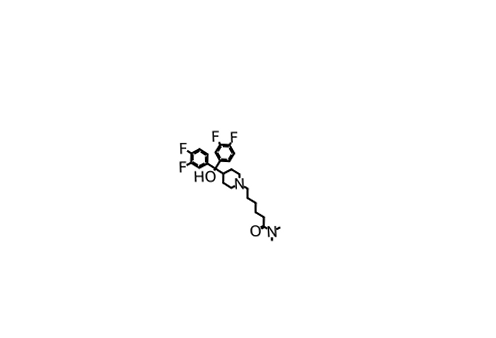 CN(C)C(=O)CCCCCN1CCC(C(O)(c2ccc(F)c(F)c2)c2ccc(F)c(F)c2)CC1